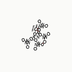 N#Cc1c(-n2c3ccc(-c4nc(-c5ccccc5)nc(-c5ccccc5)n4)cc3c3cc(-c4nc(-c5ccccc5)nc(-c5ccccc5)n4)ccc32)ccc(-c2c(F)c(F)c(F)c(F)c2F)c1-n1c2ccc(-c3nc(-c4ccccc4)nc(-c4ccccc4)n3)cc2c2cc(-c3nc(-c4ccccc4)nc(-c4ccccc4)n3)ccc21